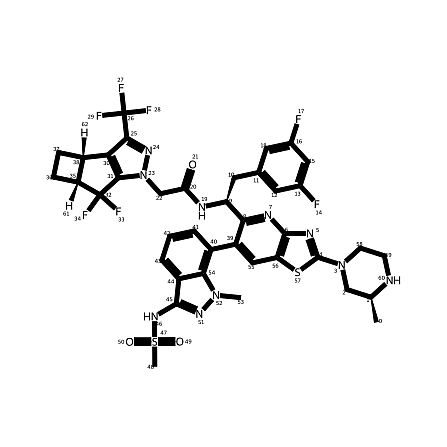 C[C@H]1CN(c2nc3nc([C@H](Cc4cc(F)cc(F)c4)NC(=O)Cn4nc(C(F)(F)F)c5c4C(F)(F)[C@@H]4CC[C@H]54)c(-c4cccc5c(NS(C)(=O)=O)nn(C)c45)cc3s2)CCN1